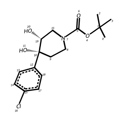 CC(C)(C)OC(=O)N1CC[C@@](O)(c2ccc(Cl)cc2)[C@H](O)C1